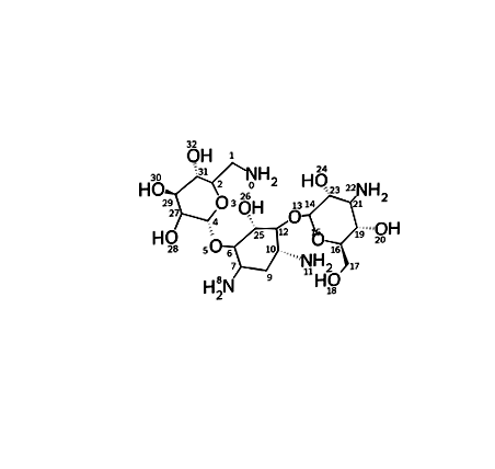 NCC1O[C@H](OC2C(N)C[C@@H](N)C(OC3O[C@H](CO)[C@@H](O)C(N)[C@H]3O)[C@H]2O)C(O)[C@@H](O)[C@@H]1O